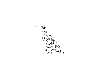 CC[C@@H](C=O)C1CCCCC1(C)[C@H]1CCC2(C)C(CCCNC)CCC2C1C